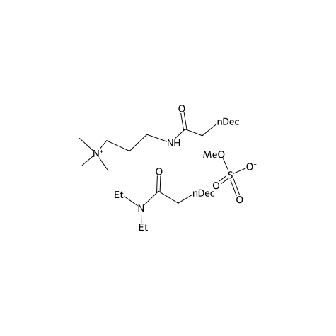 CCCCCCCCCCCC(=O)N(CC)CC.CCCCCCCCCCCC(=O)NCCC[N+](C)(C)C.COS(=O)(=O)[O-]